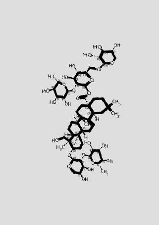 C[C@@H]1O[C@@H](O[C@H]2[C@H](O[C@H]3CC[C@@]4(C)[C@@H](CC[C@]5(C)[C@@H]4CC=C4[C@@H]6CC(C)(C)CC[C@]6(C(=O)O[C@@H]6O[C@H](CO[C@@H]7OC[C@@H](O)[C@H](O)[C@H]7O)[C@@H](O)[C@H](O)[C@H]6O[C@@H]6O[C@@H](C)[C@H](O)[C@@H](O)[C@H]6O)CC[C@]45C)[C@]3(C)CO)OC[C@H](O)[C@@H]2O)[C@H](O)[C@H](O)[C@H]1O